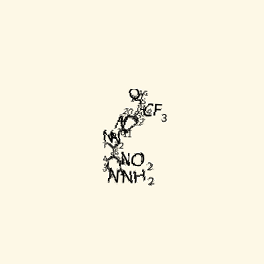 Nc1nccc(-c2cnn(-c3ccc(C(C4COC4)C(F)(F)F)cn3)c2)c1[N+](=O)[O-]